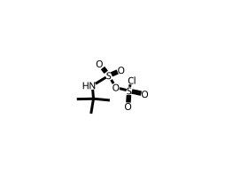 CC(C)(C)NS(=O)(=O)OS(=O)(=O)Cl